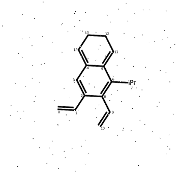 C=Cc1cc2c(c(C(C)C)c1C=C)=CCCC=2